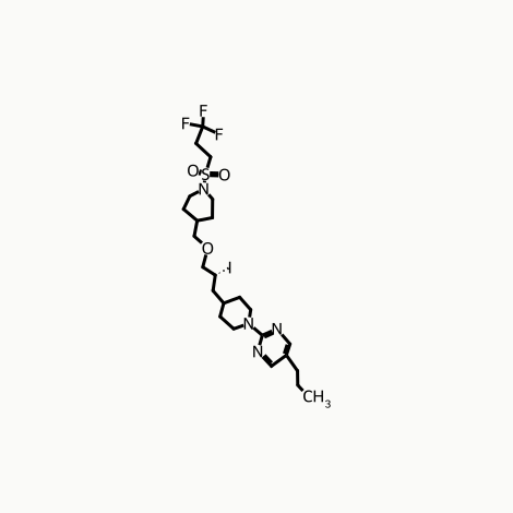 CCCc1cnc(N2CCC(C[C@@H](I)COCC3CCN(S(=O)(=O)CCC(F)(F)F)CC3)CC2)nc1